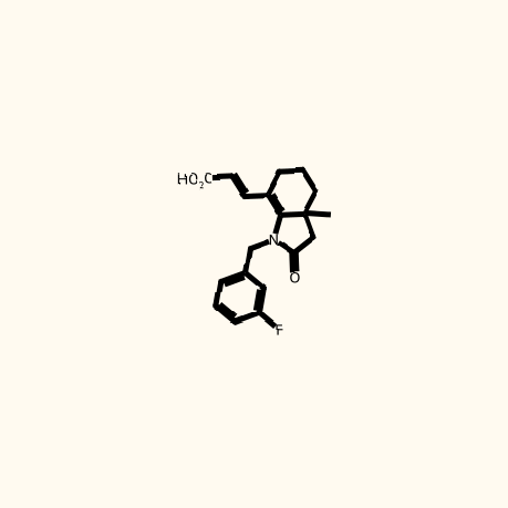 CC12CCCC(C=CC(=O)O)=C1N(Cc1cccc(F)c1)C(=O)C2